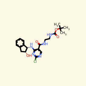 CC(C)(C)OC(=O)NCCNC(=O)c1cnc(Cl)nc1N[C@H]1c2ccccc2C[C@H]1O